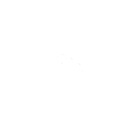 CCOC(=O)Cc1ccc(/N=C2\SCC(=O)N2C)cc1F